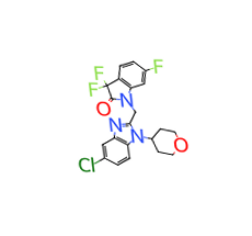 O=C1N(Cc2nc3cc(Cl)ccc3n2C2CCOCC2)c2cc(F)ccc2C1(F)F